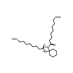 CCCCCCCCCCCCCCCCCC(=O)NC1(NC(=O)CCCCCCCCCCCCCCCCC)CCCCC1